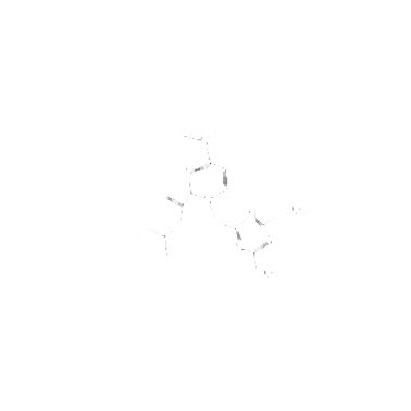 CCOC(=O)OC(C)OC(=O)C1N=C(N(C)C)C=CN1Oc1nc(OC)cc(OC)n1